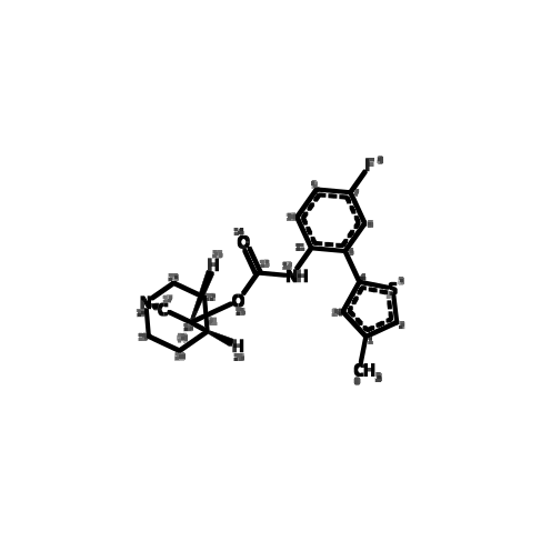 Cc1csc(-c2cc(F)ccc2NC(=O)O[C@H]2C[N@]3CC[C@H]2CC3)c1